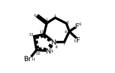 C=C1CCC(F)(F)Cn2nc(Br)cc21